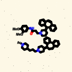 CC(=O)N1CCC(CCCN2CCC(=C3C=Cc4ccccc4-c4ccccc43)CC2)CC1.COc1ccc(NC(=O)CCN2CCCC(=C3c4ccccc4C=Cc4ccccc43)C2)cc1OC